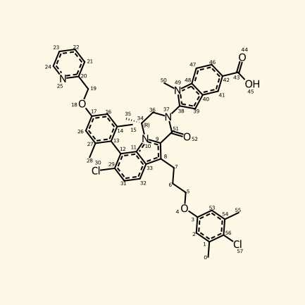 Cc1cc(OCCCc2c3n(c4c(-c5c(C)cc(OCc6ccccn6)cc5C)c(Cl)ccc24)[C@H](C)CN(c2cc4cc(C(=O)O)ccc4n2C)C3=O)cc(C)c1Cl